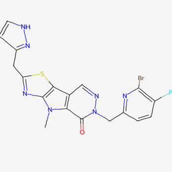 Cn1c2nc(Cc3cc[nH]n3)sc2c2cnn(Cc3ccc(F)c(Br)n3)c(=O)c21